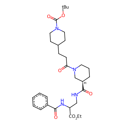 CCOC(=O)C(CNC(=O)[C@@H]1CCCN(C(=O)CCC2CCN(C(=O)OC(C)(C)C)CC2)C1)NC(=O)c1ccccc1